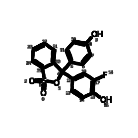 O=S1(=O)OC(c2ccc(O)cc2)(c2ccc(O)c(F)c2)c2ccccc21